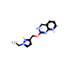 FC(F)(F)Cn1ccc(COC2=Nc3ncccc3CN2)n1